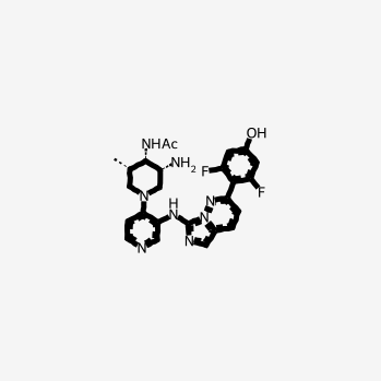 CC(=O)N[C@@H]1[C@H](N)CN(c2ccncc2Nc2ncc3ccc(-c4c(F)cc(O)cc4F)nn23)C[C@@H]1C